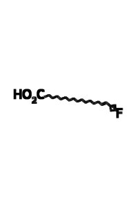 O=C(O)CCCCCCCCCCCCCC/C=C/C12CC(F)(C1)C2